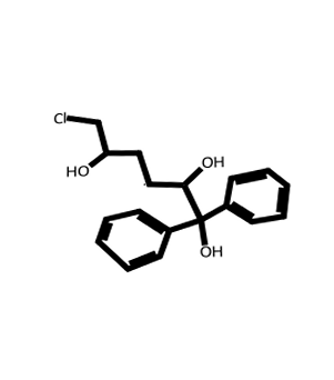 OC(CCl)C[CH]C(O)C(O)(c1ccccc1)c1ccccc1